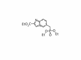 CCOC(=O)c1cn2cc(CP(=O)(OCC)OCC)ccc2n1